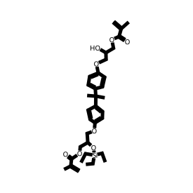 C=C(C)C(=O)OCC(O)COc1ccc(C(C)(C)c2ccc(OCC(COC(=O)C(=C)C)O[Si](CC)(CC)CC)cc2)cc1